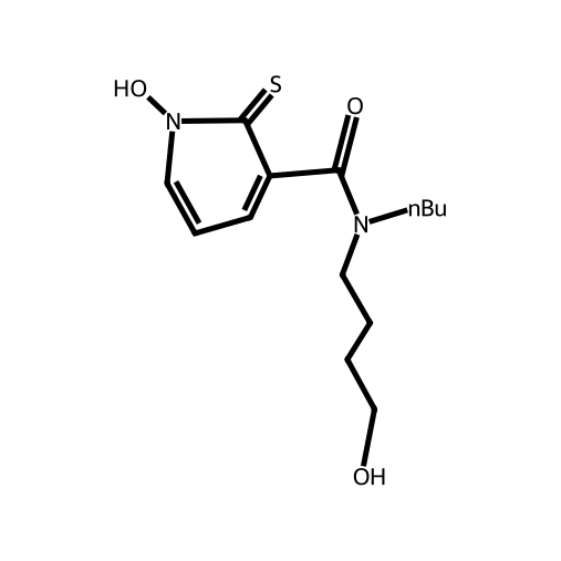 CCCCN(CCCCO)C(=O)c1cccn(O)c1=S